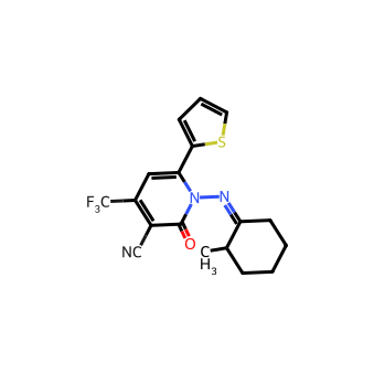 CC1CCCC/C1=N/n1c(-c2cccs2)cc(C(F)(F)F)c(C#N)c1=O